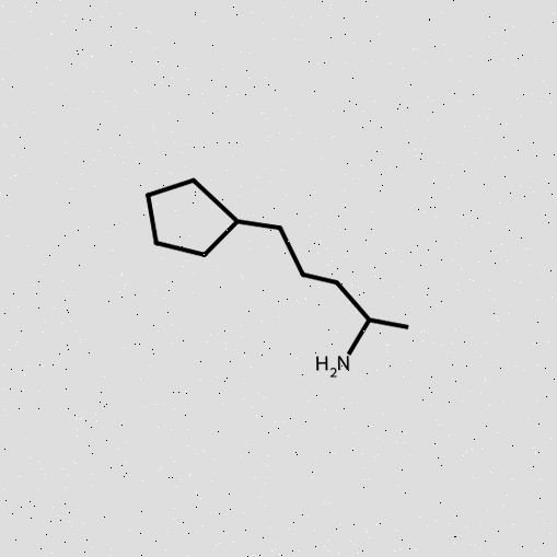 CC(N)CCCC1CCCC1